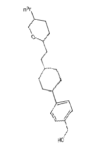 CCCC1CCC(CCC2CCC(c3ccc(CO)cc3)CC2)OC1